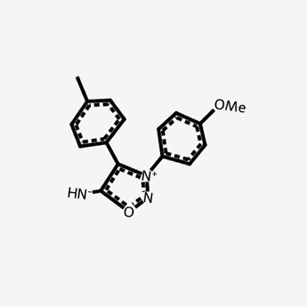 COc1ccc(-[n+]2noc([NH-])c2-c2ccc(C)cc2)cc1